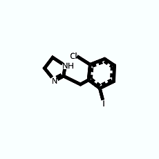 Clc1cccc(I)c1CC1=NCCN1